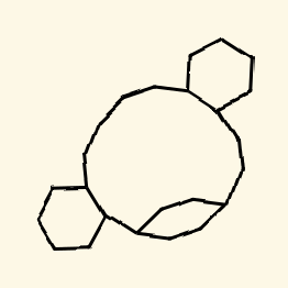 C1CCC2CCC3CCC(CC3)C3CCCCC3CCCCC2C1